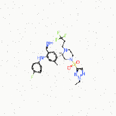 CCn1ncc(S(=O)(=O)N2CCN(CCC(F)(F)F)[C@@H](c3cc(C=N)c(Nc4ccc(F)cc4)cc3C)C2)n1